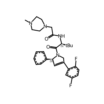 CN1CCN(CC(=O)N[C@H](C(=O)N2CC(c3cc(F)ccc3F)=C[C@H]2c2ccccc2)C(C)(C)C)CC1